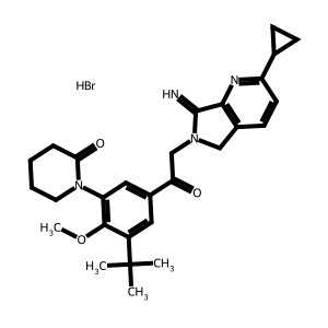 Br.COc1c(N2CCCCC2=O)cc(C(=O)CN2Cc3ccc(C4CC4)nc3C2=N)cc1C(C)(C)C